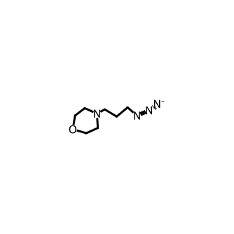 [N-]=[N+]=NCCCN1CCOCC1